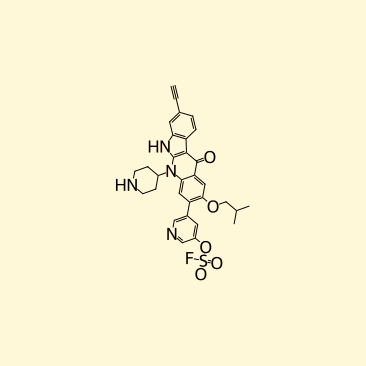 C#Cc1ccc2c(c1)[nH]c1c2c(=O)c2cc(OCC(C)C)c(-c3cncc(OS(=O)(=O)F)c3)cc2n1C1CCNCC1